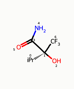 CC(C)[C@](O)(C(N)=O)C(F)(F)F